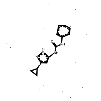 O=C(Nc1ccccc1)Nc1cc(C2CC2)n[nH]1